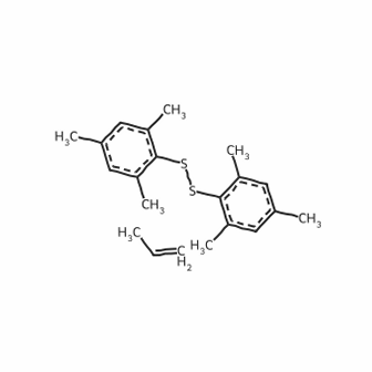 C=CC.Cc1cc(C)c(SSc2c(C)cc(C)cc2C)c(C)c1